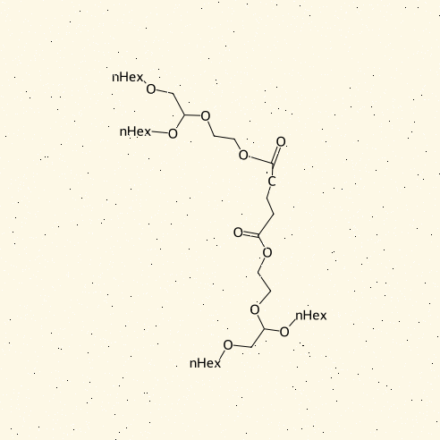 CCCCCCOCC(OCCCCCC)OCCOC(=O)CCCC(=O)OCCOC(COCCCCCC)OCCCCCC